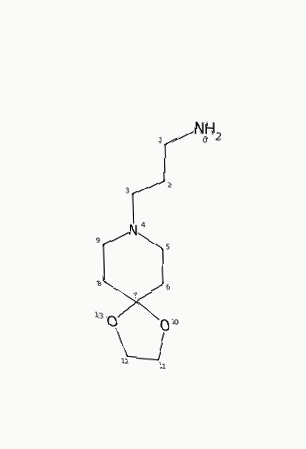 NCCCN1CCC2(CC1)OCCO2